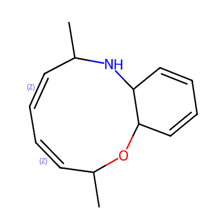 CC1/C=C\C=C/C(C)OC2C=CC=CC2N1